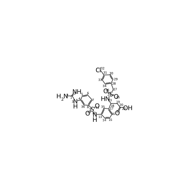 N=C(N)Nc1cccc(S(=O)(=O)Nc2cccc(C(CC(=O)O)NS(=O)(=O)Cc3ccc(Cl)cc3)c2)c1